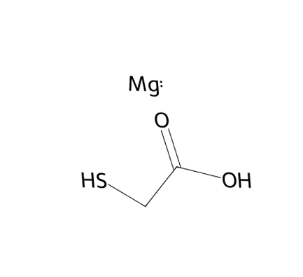 O=C(O)CS.[Mg]